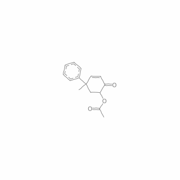 CC(=O)OC1CC(C)(c2ccccc2)C=CC1=O